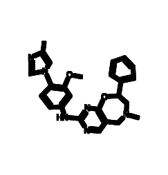 COc1cc(Nc2ncc3c(n2)OC(c2ccccc2)CN(C)C3)ccc1-n1cnc(C)c1